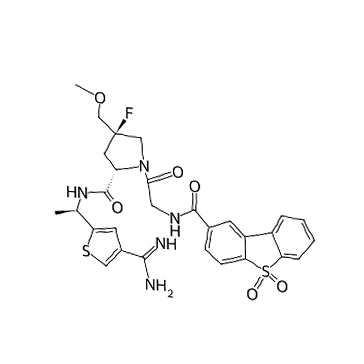 COC[C@@]1(F)C[C@@H](C(=O)N[C@H](C)c2cc(C(=N)N)cs2)N(C(=O)CNC(=O)c2ccc3c(c2)-c2ccccc2S3(=O)=O)C1